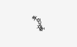 [2H]c1nnc2c(C)c(C)c(N3CCc4ncc(-c5c(C)nn(C)c5C)cc4C3)nn12